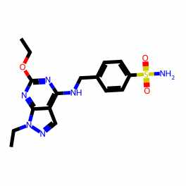 CCOc1nc(NCc2ccc(S(N)(=O)=O)cc2)c2cnn(CC)c2n1